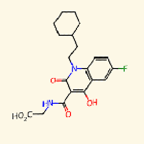 O=C(O)CNC(=O)c1c(O)c2cc(F)ccc2n(CCC2CCCCC2)c1=O